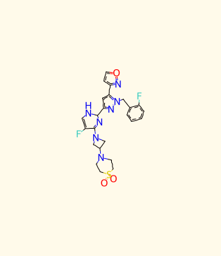 O=S1(=O)CCN(C2CN(C3=NC(c4cc(-c5ccon5)n(Cc5ccccc5F)n4)NC=C3F)C2)CC1